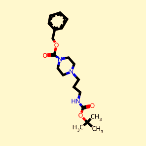 CC(C)(C)OC(=O)NCCCN1CCN(C(=O)OCc2ccccc2)CC1